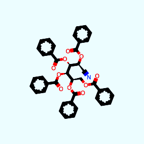 N#C[C@H](OC(=O)c1ccccc1)[C@@H](OC(=O)c1ccccc1)[C@H](OC(=O)c1ccccc1)[C@@H](COC(=O)c1ccccc1)OC(=O)c1ccccc1